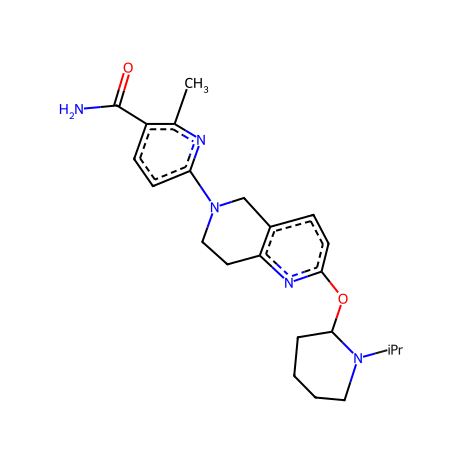 Cc1nc(N2CCc3nc(OC4CCCCN4C(C)C)ccc3C2)ccc1C(N)=O